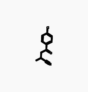 CC(C#N)CC(=O)c1ccc(Cl)cc1